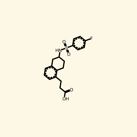 O=C(O)CCc1cccc2c1CCC(NS(=O)(=O)c1ccc(F)cc1)C2